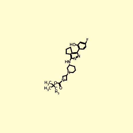 CC(C)(C)OC(=O)N1CC(N2CCC[C@@H](Nc3nnc(-c4ccc(F)cc4O)c4c3CCC4)C2)C1